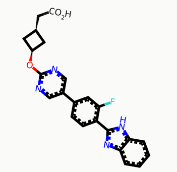 O=C(O)C[C@H]1C[C@@H](Oc2ncc(-c3ccc(-c4nc5ccccc5[nH]4)c(F)c3)cn2)C1